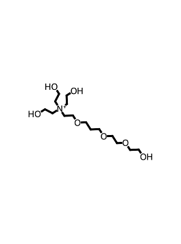 OCCOCCOCCCOCC[N+](CCO)(CCO)CCO